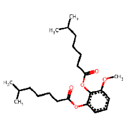 COc1cccc(OC(=O)CCCCC(C)C)c1OC(=O)CCCCC(C)C